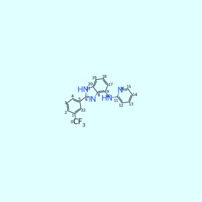 FC(F)(F)c1cccc(-c2nc3c(Nc4ccccn4)cccc3[nH]2)c1